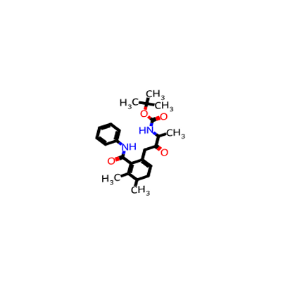 CC1=C(C(=O)Nc2ccccc2)C(CC(=O)C(C)NC(=O)OC(C)(C)C)=CCC1C